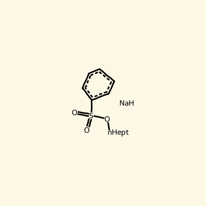 CCCCCCCOS(=O)(=O)c1ccccc1.[NaH]